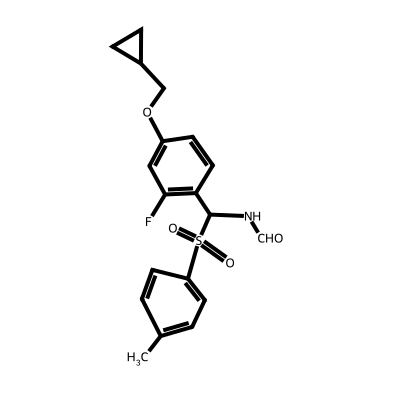 Cc1ccc(S(=O)(=O)C(NC=O)c2ccc(OCC3CC3)cc2F)cc1